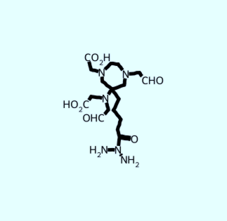 NN(N)C(=O)CCCCC1(N(CC=O)CC(=O)O)CN(CC=O)CCN(CC(=O)O)C1